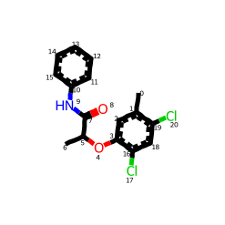 Cc1cc(OC(C)C(=O)Nc2ccccc2)c(Cl)cc1Cl